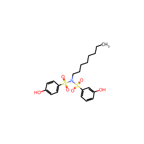 CCCCCCCCN(S(=O)(=O)c1ccc(O)cc1)S(=O)(=O)c1cccc(O)c1